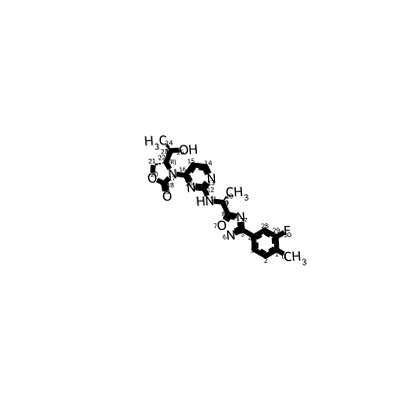 Cc1ccc(-c2noc([C@@H](C)Nc3nccc(N4C(=O)OC[C@@H]4[C@@H](C)O)n3)n2)cc1F